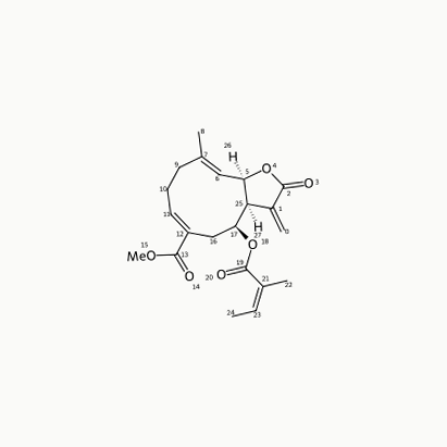 C=C1C(=O)O[C@@H]2/C=C(\C)CC/C=C(/C(=O)OC)C[C@H](OC(=O)/C(C)=C\C)[C@H]12